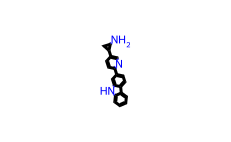 NC1CC1c1ccc(-c2ccc3c(c2)[nH]c2ccccc23)nc1